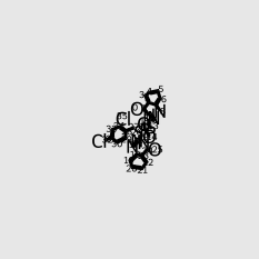 O=c1c2ccccc2nnn1OP(=S)(On1nnc2ccccc2c1=O)SCc1ccc(Cl)cc1Cl